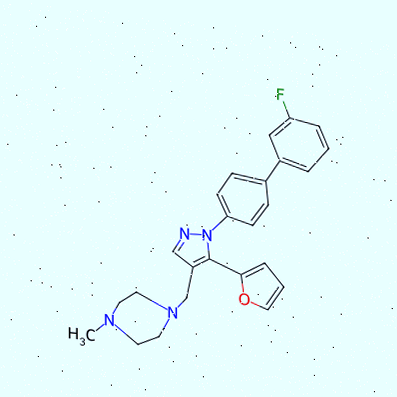 CN1CCN(Cc2cnn(-c3ccc(-c4cccc(F)c4)cc3)c2-c2ccco2)CC1